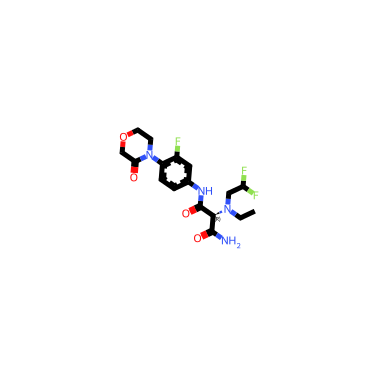 CCN(CC(F)F)[C@H](C(N)=O)C(=O)Nc1ccc(N2CCOCC2=O)c(F)c1